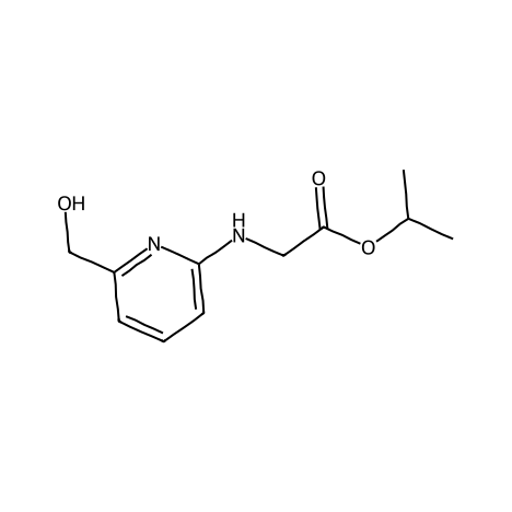 CC(C)OC(=O)CNc1cccc(CO)n1